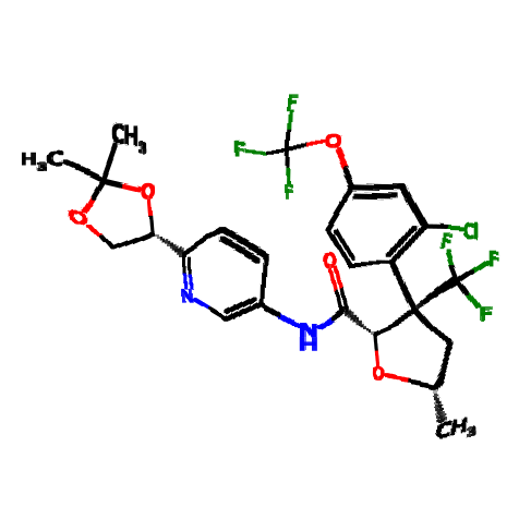 C[C@H]1C[C@](c2ccc(OC(F)(F)F)cc2Cl)(C(F)(F)F)[C@@H](C(=O)Nc2ccc([C@@H]3COC(C)(C)O3)nc2)O1